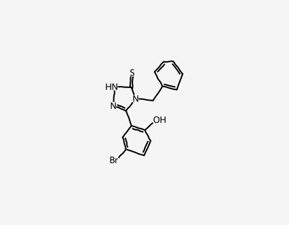 Oc1ccc(Br)cc1-c1n[nH]c(=S)n1Cc1ccccc1